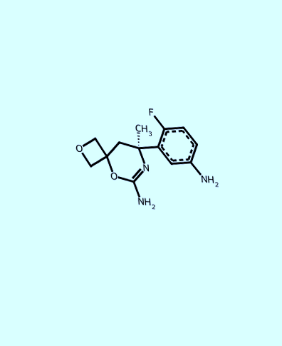 C[C@@]1(c2cc(N)ccc2F)CC2(COC2)OC(N)=N1